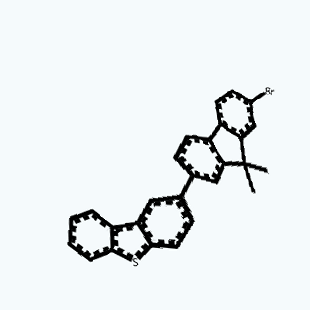 CC1(C)c2cc(Br)ccc2-c2ccc(-c3ccc4sc5ccccc5c4c3)cc21